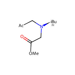 CC[C@H](C)N(CC(C)=O)CC(=O)OC